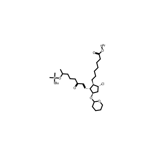 CCCOC(=O)CCCCCC[C@@H]1[C@@H](C=CC(=O)CCCC(C)O[Si](C)(C)C(C)(C)C)[C@H](OC2CCCCO2)C[C@H]1Cl